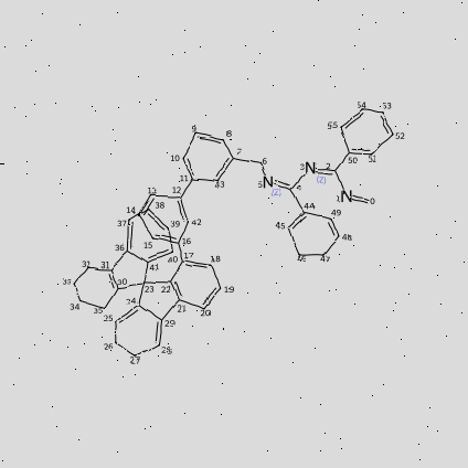 C=N/C(=N\C(=N/Cc1cccc(-c2cccc(-c3cccc4c3C3(C5=CCCC=C54)C4=C(CCCC4)c4ccccc43)c2)c1)C1=CCCC=C1)c1ccccc1